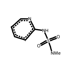 CNS(=O)(=O)Nc1[c]cccn1